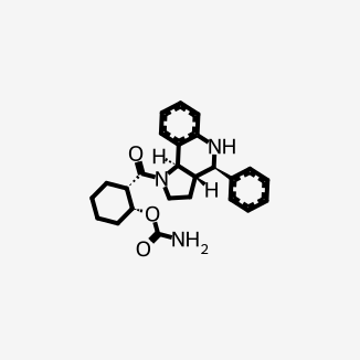 NC(=O)O[C@@H]1CCCC[C@@H]1C(=O)N1CC[C@H]2[C@H](c3ccccc3)Nc3ccccc3[C@@H]21